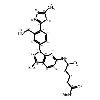 CC[C@@H](CCCC(=O)NC)Nc1ncc2c(Br)nn(-c3ccc(-c4nnc(C)s4)c(CO)c3)c2n1